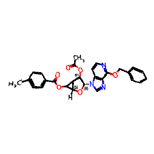 CC(=O)O[C@@H]1C2C(OC(=O)c3ccc(C)cc3)[C@H]2O[C@H]1n1cnc2c(OCc3ccccc3)nccc21